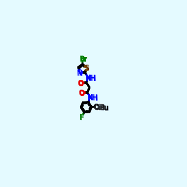 CC(C)COc1cc(F)ccc1NC(=O)CC(=O)Nc1ncc(Br)s1